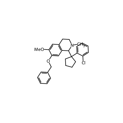 COc1cc2c(cc1OCc1ccccc1)C(C1(c3ccccc3Cl)CCCC1)N(C)CC2